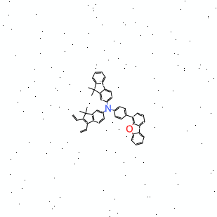 C=CC1=C(C=C)C(C)(C)c2cc(N(c3ccc(-c4cccc5c4oc4ccccc45)cc3)c3ccc4c(c3)C(C)(C)c3ccccc3-4)ccc21